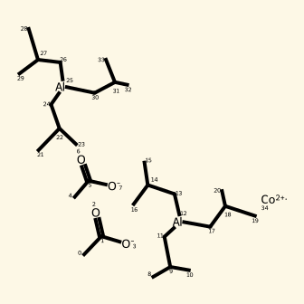 CC(=O)[O-].CC(=O)[O-].CC(C)[CH2][Al]([CH2]C(C)C)[CH2]C(C)C.CC(C)[CH2][Al]([CH2]C(C)C)[CH2]C(C)C.[Co+2]